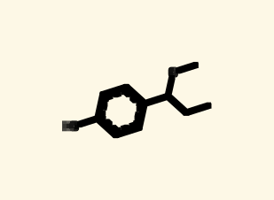 CCC(OC)c1ccc(O)cc1